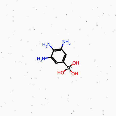 Nc1cc([Si](O)(O)O)cc(N)c1N